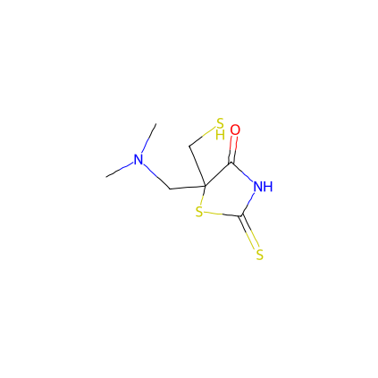 CN(C)CC1(CS)SC(=S)NC1=O